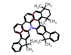 CC1(C)CCC(C)(C)c2c(-c3cc4c(cc3N(c3ccc5c(c3)C(C)(C)c3ccccc3-5)c3ccccc3-c3ccccc3)C(C)(C)c3ccccc3-4)cccc21